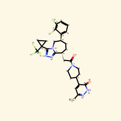 Cc1cc(C2CCN(C(=O)C[C@H]3CC[C@H](c4cccc(F)c4F)Cn4c3nnc4C3(C(F)(F)F)CC3)CC2)c(=O)[nH]n1